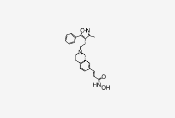 Cc1noc(-c2ccccc2)c1CCN1CCc2ccc(C=CC(=O)NO)cc2C1